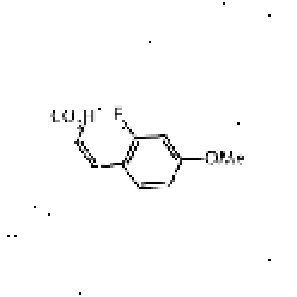 COc1ccc(/C=C\C(=O)O)c(F)c1